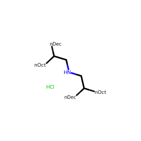 CCCCCCCCCCC(CCCCCCCC)CNCC(CCCCCCCC)CCCCCCCCCC.Cl